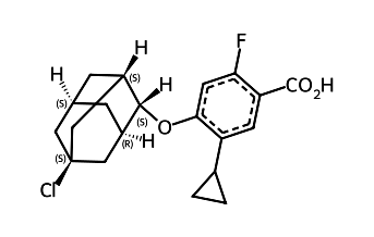 O=C(O)c1cc(C2CC2)c(O[C@@H]2[C@@H]3C[C@@H]4C[C@H]2C[C@@](Cl)(C4)C3)cc1F